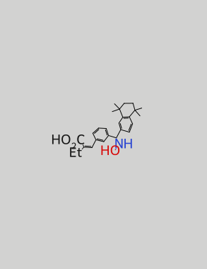 CC/C(=C/c1cccc(C(NO)c2ccc3c(c2)C(C)(C)CCC3(C)C)c1)C(=O)O